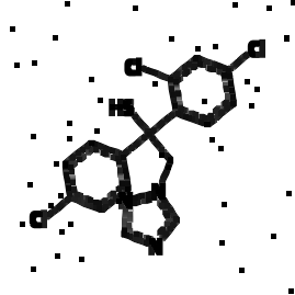 SC(Cn1cncn1)(c1ccc(Cl)cc1)c1ccc(Cl)cc1Cl